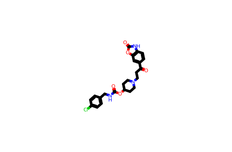 O=C(NCc1ccc(Cl)cc1)OC1CCN(CCC(=O)c2ccc3[nH]c(=O)oc3c2)CC1